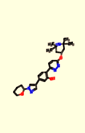 CC1(C)CC(Oc2ccc(-c3ccc(-c4cnn(C5CCCCO5)c4)cc3O)nn2)CC(C)(C)N1